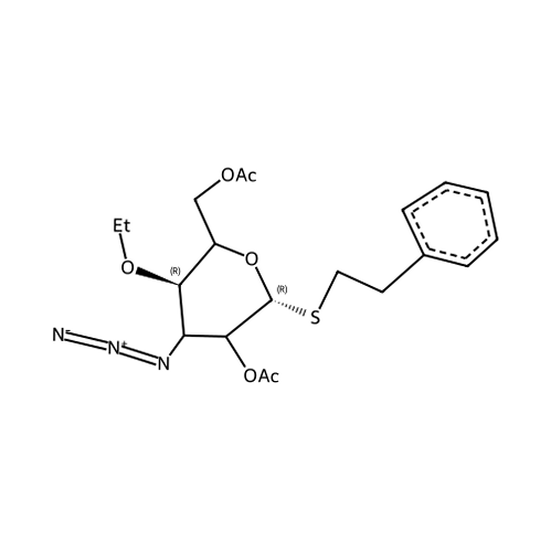 CCO[C@H]1C(COC(C)=O)O[C@H](SCCc2ccccc2)C(OC(C)=O)C1N=[N+]=[N-]